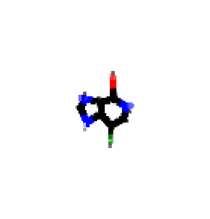 O=c1[nH]cc(Br)c2nc[nH]c12